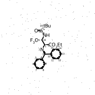 CCOC(=O)[C@@H](N=C(c1ccccc1)c1ccccc1)[C@@H](N[S@@+]([O-])C(C)(C)C)C(F)(F)F